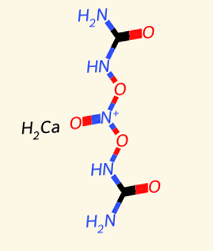 NC(=O)NO[N+](=O)ONC(N)=O.[CaH2]